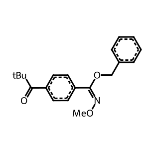 CON=C(OCc1ccccc1)c1ccc(C(=O)C(C)(C)C)cc1